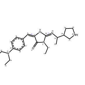 CCN1C(=O)/C(=C\c2ccc(N(CC)CC)cc2)O/C1=N/C(C)C1CCNC1